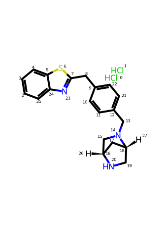 Cl.Cl.c1ccc2sc(Cc3ccc(CN4C[C@@H]5C[C@H]4CN5)cc3)nc2c1